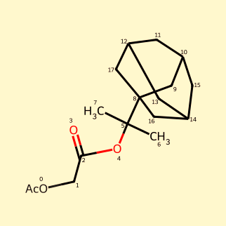 CC(=O)OCC(=O)OC(C)(C)C12CC3CC(CC(C3)C1)C2